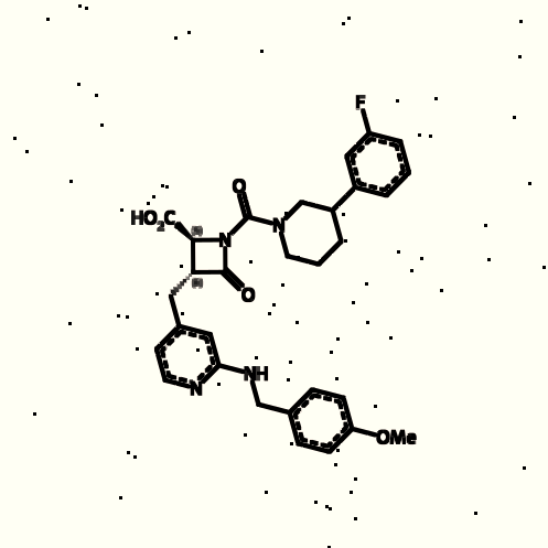 COc1ccc(CNc2cc(C[C@H]3C(=O)N(C(=O)N4CCCC(c5cccc(F)c5)C4)[C@@H]3C(=O)O)ccn2)cc1